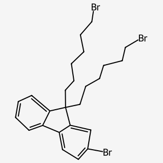 BrCCCCCCC1(CCCCCCBr)c2ccccc2-c2ccc(Br)cc21